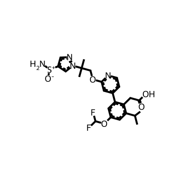 CC(C)c1cc(OC(F)F)cc(-c2ccnc(OCC(C)(C)n3cc([S+](N)[O-])cn3)c2)c1CC(=O)O